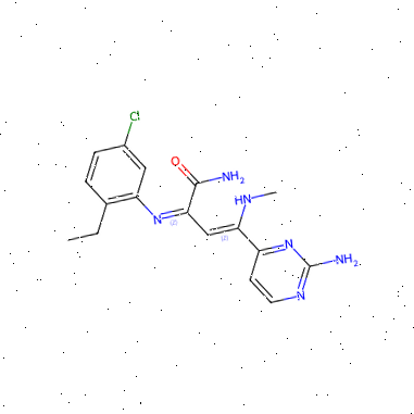 CCc1ccc(Cl)cc1/N=C(/C=C(\NC)c1ccnc(N)n1)C(N)=O